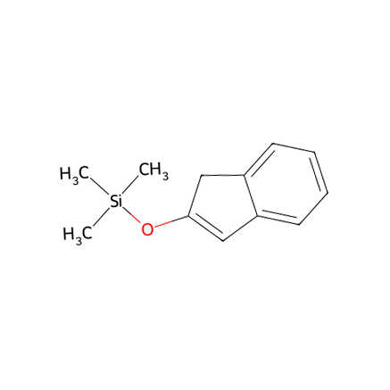 C[Si](C)(C)OC1=Cc2ccccc2C1